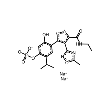 CCNC(=O)c1noc(-c2cc(C(C)C)c(OP(=O)([O-])[O-])cc2O)c1-c1noc(C)n1.[Na+].[Na+]